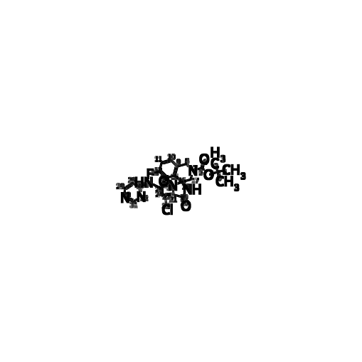 CC(C)(C)OC(=O)N1Cc2ccc(F)cc2C2(C1)NC(=O)c1c(Cl)cc(Nc3ccncn3)c(=O)n12